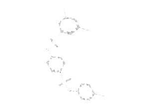 O=S(=O)(Nc1ccc(Cl)cc1)c1ccc(NS(=O)(=O)c2cc(Cl)cc(Cl)c2)cc1